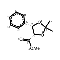 COC(=O)[C@H]1OC(C)(C)O[C@H]1c1ccccc1